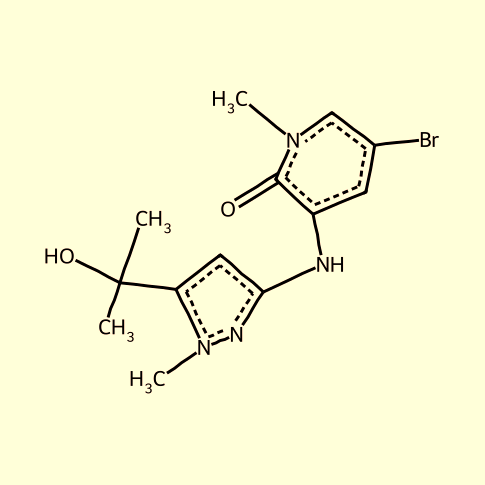 Cn1nc(Nc2cc(Br)cn(C)c2=O)cc1C(C)(C)O